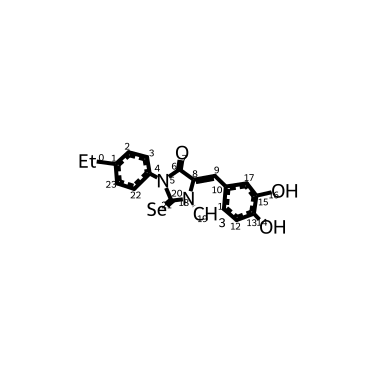 CCc1ccc(N2C(=O)C(=Cc3ccc(O)c(O)c3)N(C)C2=[Se])cc1